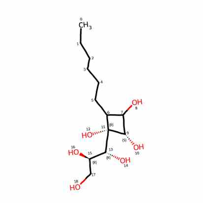 CCCCCCC1C(O)[C@H](O)[C@@]1(O)[C@H](O)[C@H](O)CO